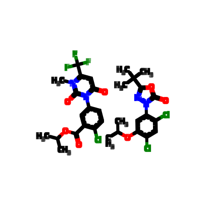 CC(C)OC(=O)c1cc(-n2c(=O)cc(C(F)(F)F)n(C)c2=O)ccc1Cl.CC(C)Oc1cc(-n2nc(C(C)(C)C)oc2=O)c(Cl)cc1Cl